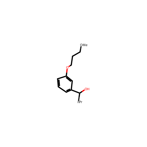 CCCC(O)c1cccc(OCCCOC)c1